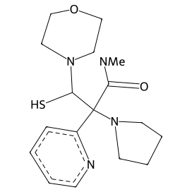 CNC(=O)C(c1ccccn1)(C(S)N1CCOCC1)N1CCCC1